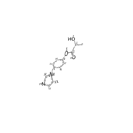 CC(O)C(=O)Oc1ccc(-n2ccnc2)cc1